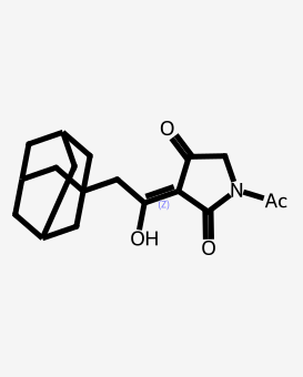 CC(=O)N1CC(=O)/C(=C(/O)CC23CC4CC(CC(C4)C2)C3)C1=O